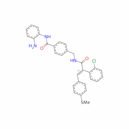 CSc1ccc(/C=C(/C(=O)NCc2ccc(C(=O)Nc3ccccc3N)cc2)c2ccccc2Cl)cc1